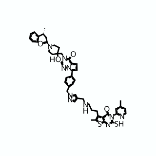 Cc1ccnc(-n2c(S)nc3sc(C)c(CCCNCc4cnn(Cc5ccc(-c6ccc7c(=O)n(CC8(O)CCN(C(=O)C[C@@H](C)c9ccccc9)CC8)cnn67)cc5)c4)c3c2=O)c1